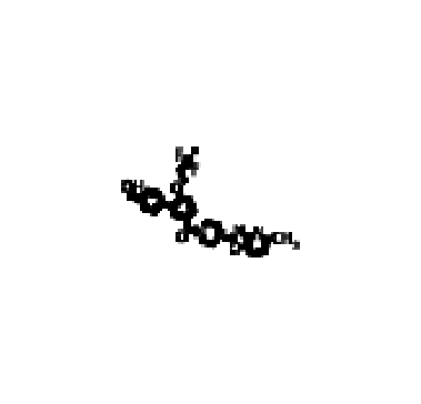 Cc1ccc2oc(N3CCN(C(=O)c4ccc(OCCC(F)(F)F)c(-c5ccc(CO)cc5)c4)CC3)nc2n1